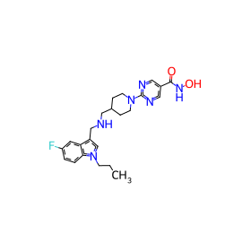 CCCn1cc(CNCC2CCN(c3ncc(C(=O)NO)cn3)CC2)c2cc(F)ccc21